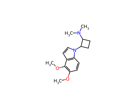 COc1ccc2c(ccn2C2CCC2N(C)C)c1OC